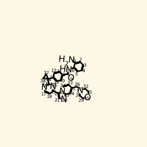 Nc1ccccc1NC(=O)c1ccc(C2(c3nccc(-c4cnc5cc(CN6CCOCC6)ccn45)n3)CC2)cc1